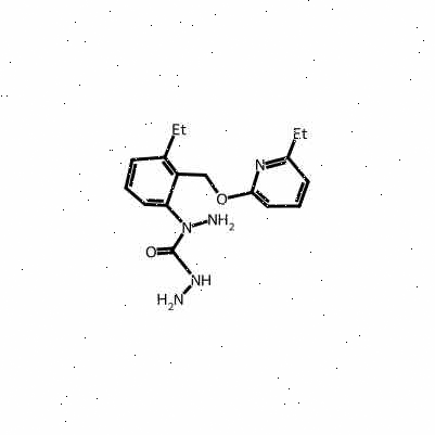 CCc1cccc(OCc2c(CC)cccc2N(N)C(=O)NN)n1